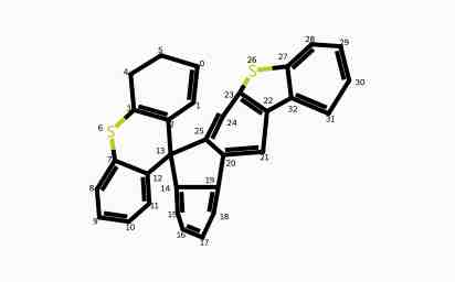 C1=CC2=C(CC1)Sc1ccccc1C21c2ccccc2-c2cc3c(cc21)sc1ccccc13